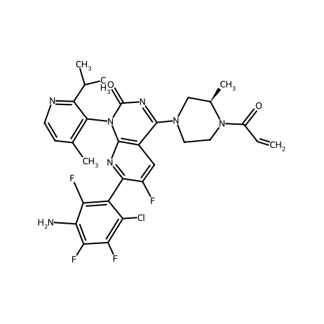 C=CC(=O)N1CCN(c2nc(=O)n(-c3c(C)ccnc3C(C)C)c3nc(-c4c(F)c(N)c(F)c(F)c4Cl)c(F)cc23)C[C@H]1C